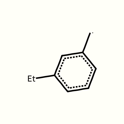 [CH2]c1cccc(CC)c1